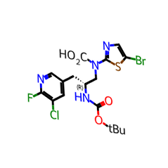 CC(C)(C)OC(=O)N[C@H](Cc1cnc(F)c(Cl)c1)CN(C(=O)O)c1ncc(Br)s1